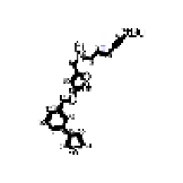 CCN(C/C=C/C#CC(C)(C)C)Cc1cc(OCc2cccc(-c3ccsc3)c2)no1